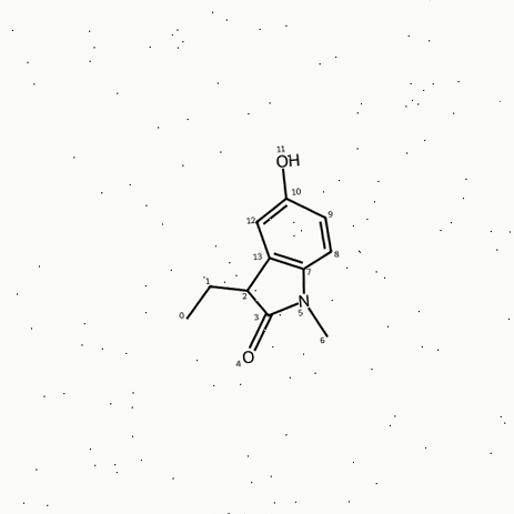 CCC1C(=O)N(C)c2ccc(O)cc21